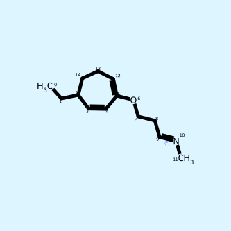 CCC1C=CC(OCC/C=N/C)=CCC1